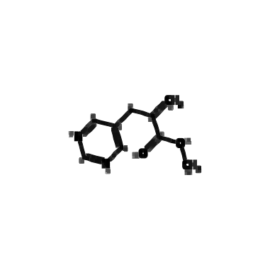 C=C(Cc1cncnc1)C(=O)OC